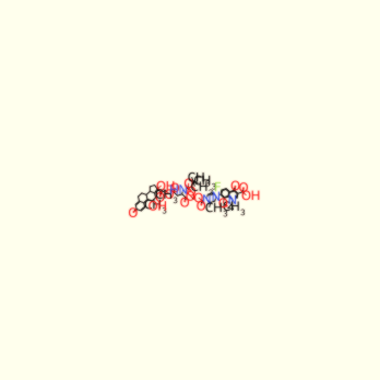 COc1c(N2CCN(C(=O)OCOC(=O)C(CC(=O)OCC(=O)[C@@]3(O)CCC4C5CCC6=CC(=O)C=C[C@]6(C)C5[C@@H](O)C[C@@]43C)NC(=O)OC(C)(C)C)C(C)C2)c(F)cc2c(=O)c(C(=O)O)cn(C3CC3)c12